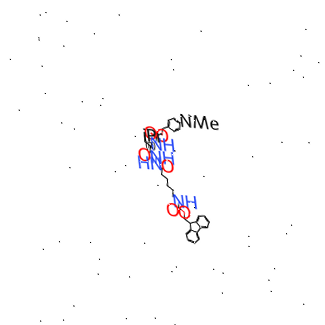 CNc1ccc(COC(=O)N[C@H](CC(C)C)C(=O)NNC(=O)CCCCCNC(=O)OCC2c3ccccc3-c3ccccc32)cc1